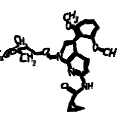 COc1cccc(OC)c1-c1cn(COCC[Si](C)(C)C)c2nc(NC(=O)C3CC3)ccc12